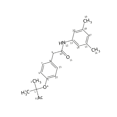 CC(=O)C(C)(C)Oc1ccc(CC(=O)Nc2cc(C)cc(C)c2)cc1